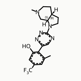 Cc1cc(C(F)(F)F)cc(O)c1-c1cnc(N2CC[C@H]3CCN(C)C[C@H]32)nn1